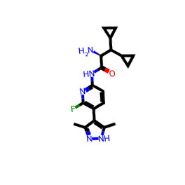 Cc1n[nH]c(C)c1-c1ccc(NC(=O)[C@@H](N)C(C2CC2)C2CC2)nc1F